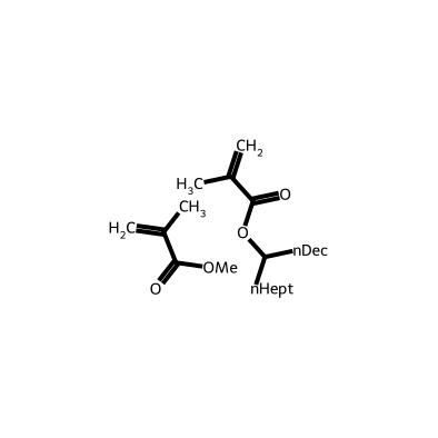 C=C(C)C(=O)OC.C=C(C)C(=O)OC(CCCCCCC)CCCCCCCCCC